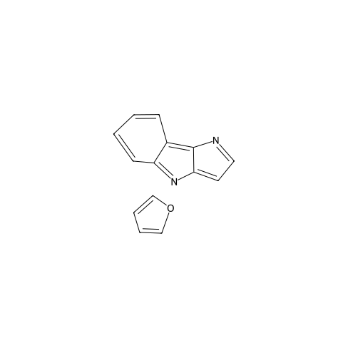 C1=NC2=c3ccccc3=NC2=C1.c1ccoc1